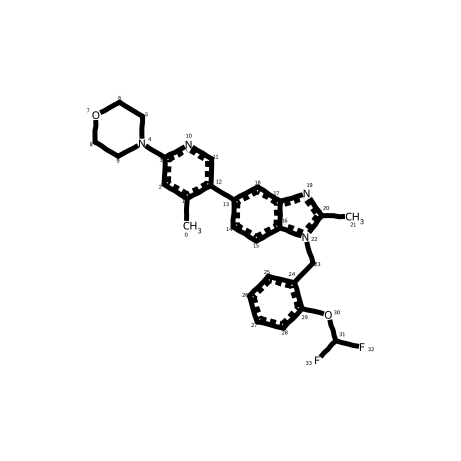 Cc1cc(N2CCOCC2)ncc1-c1ccc2c(c1)nc(C)n2Cc1ccccc1OC(F)F